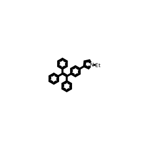 CCn1ccc(-c2ccc(C(=C(c3ccccc3)c3ccccc3)c3ccccc3)cc2)c1